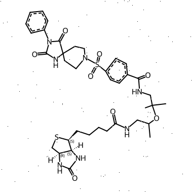 CC(CNC(=O)CCCC[C@@H]1SC[C@@H]2NC(=O)N[C@@H]21)OC(C)(C)CNC(=O)c1ccc(S(=O)(=O)N2CCC3(CC2)NC(=O)N(c2ccccc2)C3=O)cc1